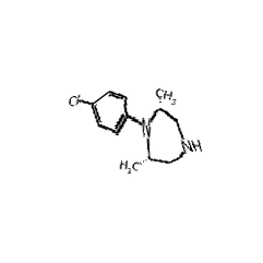 C[C@@H]1CNC[C@H](C)N1c1ccc(Cl)cc1